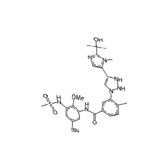 COc1c(NC(=O)c2ccc(C)c(N3C=C(c4cnc(C(C)(C)O)n4C)NN3)c2)cc(C(C)(C)C)cc1NS(C)(=O)=O